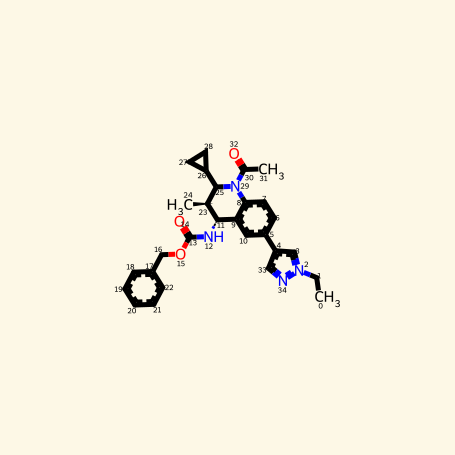 CCn1cc(-c2ccc3c(c2)[C@H](NC(=O)OCc2ccccc2)[C@@H](C)C(C2CC2)N3C(C)=O)cn1